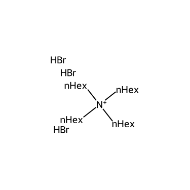 Br.Br.Br.CCCCCC[N+](CCCCCC)(CCCCCC)CCCCCC